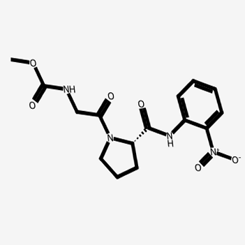 COC(=O)NCC(=O)N1CCC[C@H]1C(=O)Nc1ccccc1[N+](=O)[O-]